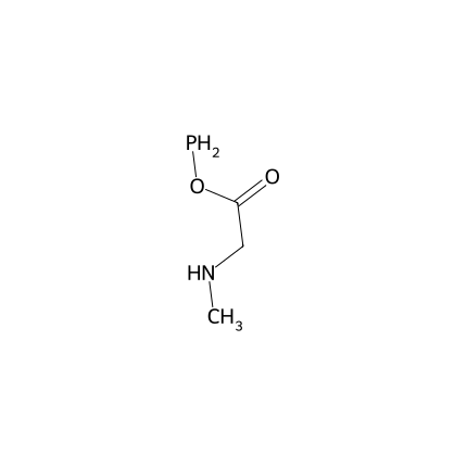 CNCC(=O)OP